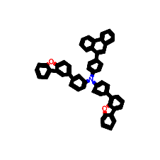 c1cc(-c2ccc3oc4ccccc4c3c2)cc(N(c2ccc(-c3cc4ccccc4c4ccccc34)cc2)c2ccc(-c3cccc4c3oc3ccccc34)cc2)c1